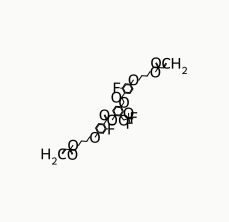 C=CC(=O)OCCCCOc1ccc(C(=O)Oc2ccc(OC(=O)c3ccc(OCCCCOC(=O)C=C)cc3F)c3c2OC(F)(F)O3)c(F)c1